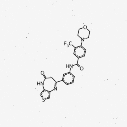 O=C1CC(c2cccc(NC(=O)c3ccc(N4CCOCC4)c(C(F)(F)F)c3)c2)=Nc2cscc2N1